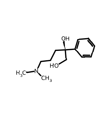 CN(C)CCC[C@@](O)(CO)c1ccccc1